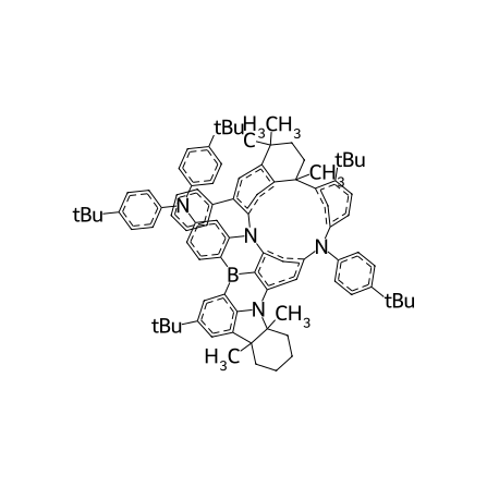 CC(C)(C)c1ccc(N(c2ccc(C(C)(C)C)cc2)c2ccc3c(c2)N2c4cc5c(cc4-c4ccccc4)C(C)(C)CCC5(C)c4cc(ccc4C(C)(C)C)N(c4ccc(C(C)(C)C)cc4)c4cc2c2c(c4)N4c5c(cc(C(C)(C)C)cc5C5(C)CCCCC45C)B32)cc1